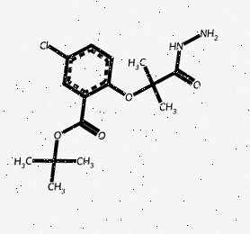 CC(C)(C)OC(=O)c1cc(Cl)ccc1OC(C)(C)C(=O)NN